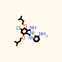 CC(C)CCOc1cc(Cl)c(OCCC(C)C)c2c1C(=N)N(Sc1ccccc1N)C2=N